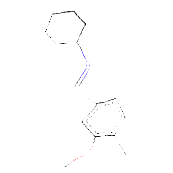 COc1cc(/C=N/C2CCCCC2)ccc1C